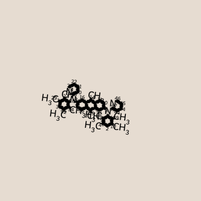 Cc1cc(C)c(C)c(N(c2ccc3c(C)c4cc(N(c5ccccn5)c5c(C)c(C)cc(C)c5C)ccc4c(C)c3c2)c2ccccn2)c1C